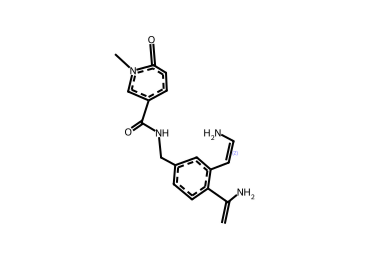 C=C(N)c1ccc(CNC(=O)c2ccc(=O)n(C)c2)cc1/C=C\N